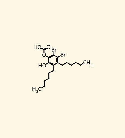 CCCCCCc1c(O)c(OC(=O)O)c(Br)c(Br)c1CCCCCC